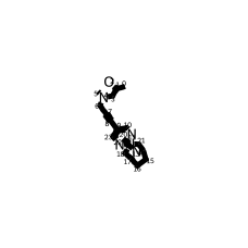 CC(=O)CN(C)CC#Cc1cnc(N2C3CCC2CN(C)C3)nc1